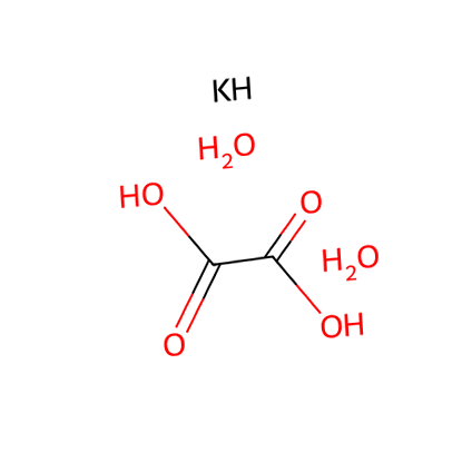 O.O.O=C(O)C(=O)O.[KH]